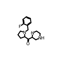 O=C(C1CNCC[N]1)C1CCCN1Cc1ccccc1F